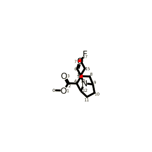 COC(=O)C1C(C=O)CC2CCC1N2CCCF